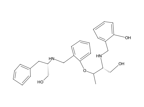 CC(Oc1ccccc1CN[C@H](CO)Cc1ccccc1)[C@@H](CO)NCc1ccccc1O